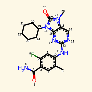 Cc1cc(C(N)=O)c(F)cc1Nc1ncc2c(n1)n(C1CCCCC1)c(=O)n2C